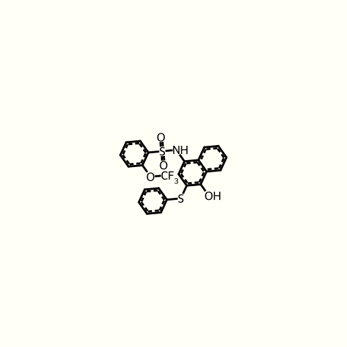 O=S(=O)(Nc1cc(Sc2ccccc2)c(O)c2ccccc12)c1ccccc1OC(F)(F)F